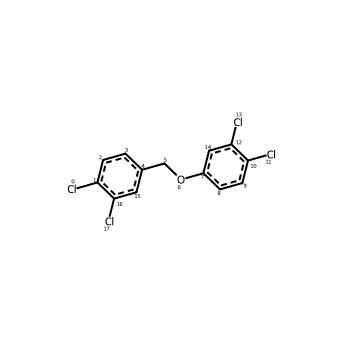 Clc1ccc(COc2ccc(Cl)c(Cl)c2)cc1Cl